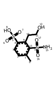 Cc1ccc(S(=O)(=O)O)c(CCO)c1S(N)(=O)=O